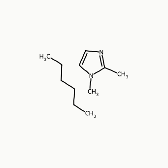 CCCCCC.Cc1nccn1C